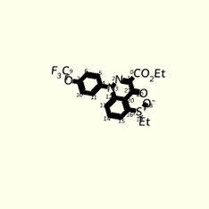 CCOC(=O)c1nn(-c2ccc(OC(F)(F)F)cc2)c2cccc([S+]([O-])CC)c2c1=O